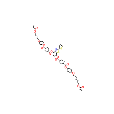 C=CC(=O)OCCCCCCOc1ccc(OC(=O)[C@H]2CC[C@H](C(=O)Oc3ccc(OC(=O)[C@H]4CC[C@H](C(=O)Oc5ccc(OCCCCCOC(=O)C=C)cc5)CC4)c4nc(-c5cccs5)sc34)CC2)cc1